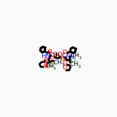 CCC(Cl)(CC)[C@@H](OC1CCCCO1)C(C)(NC(=O)c1ccccc1)OC(=O)CC(=O)OC(C)(NC(=O)c1ccccc1)[C@H](OC1CCCCO1)C(Cl)(CC)CC